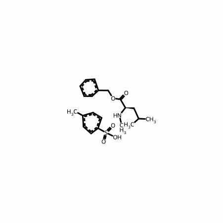 CN[C@H](CC(C)C)C(=O)OCc1ccccc1.Cc1ccc(S(=O)(=O)O)cc1